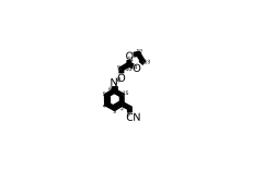 N#CCC1=CC=CC(=NOCC2OCCO2)C1